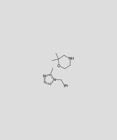 CC1(C)CNCCO1.Cc1nccn1CC(C)C